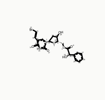 O=C(OC[C@@H]1O[C@H](n2cc(C=CBr)c(=O)[nH]c2=O)CC1O)[C@H](O)c1ccccc1